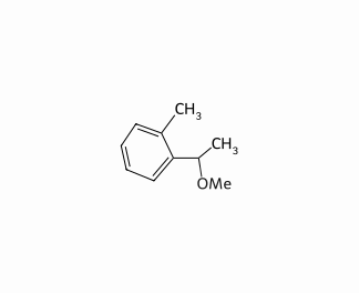 COC(C)c1ccccc1C